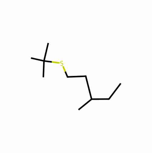 CCC(C)CCSC(C)(C)C